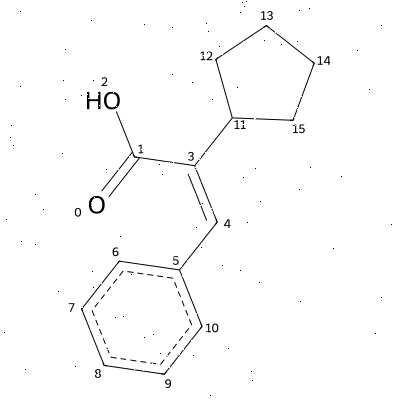 O=C(O)/C(=C\c1ccccc1)C1CCCC1